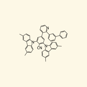 Cc1ccc2c(c1)c1cc(C)ccc1n2-c1cc(-c2cccnc2-c2cccc(-c3ccccc3)c2)cc(-n2c3ccc(C)cc3c3cc(C)ccc32)c1C#N